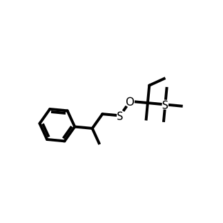 CCC(C)(OSCC(C)c1ccccc1)S(C)(C)C